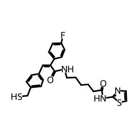 O=C(CCCCCNC(=O)C(=Cc1ccc(CS)cc1)c1ccc(F)cc1)Nc1nccs1